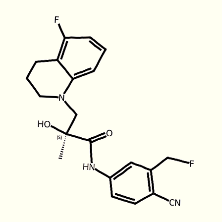 C[C@](O)(CN1CCCc2c(F)cccc21)C(=O)Nc1ccc(C#N)c(CF)c1